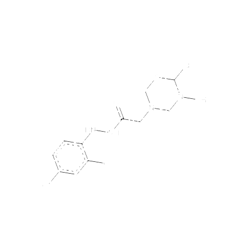 CN1CN(CC(=O)NNc2ccc(Cl)cc2Cl)CSC1S